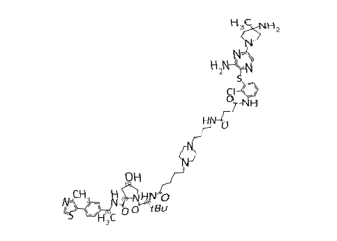 Cc1ncsc1-c1ccc([C@@H](C)NC(=O)[C@H]2C[C@H](O)CN2C(=O)[C@H](NC(=O)CCCCN2CCN(CCCCNC(=O)CCC(=O)Nc3cccc(Sc4ncc(N5CCC(C)(N)CC5)nc4N)c3Cl)CC2)C(C)(C)C)cc1